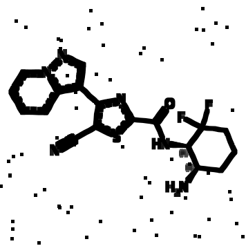 N#Cc1sc(C(=O)N[C@@H]2[C@H](N)CCCC2(F)F)nc1-c1cnn2ccccc12